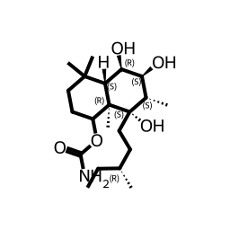 CC[C@@H](C)CC[C@]1(O)[C@@H](C)[C@H](O)[C@H](O)[C@H]2C(C)(C)CCC(OC(N)=O)[C@@]21C